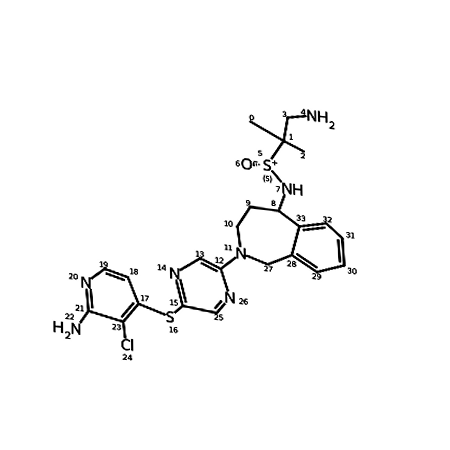 CC(C)(CN)[S@@+]([O-])NC1CCN(c2cnc(Sc3ccnc(N)c3Cl)cn2)Cc2ccccc21